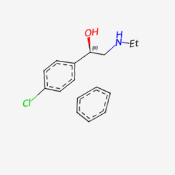 CCNC[C@H](O)c1ccc(Cl)cc1.c1ccccc1